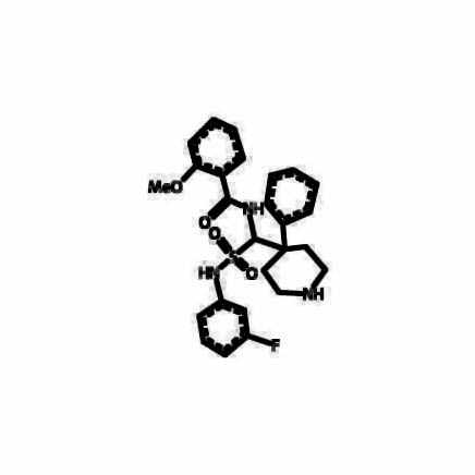 COc1ccccc1C(=O)NC(C1(c2ccccc2)CCNCC1)S(=O)(=O)Nc1cccc(F)c1